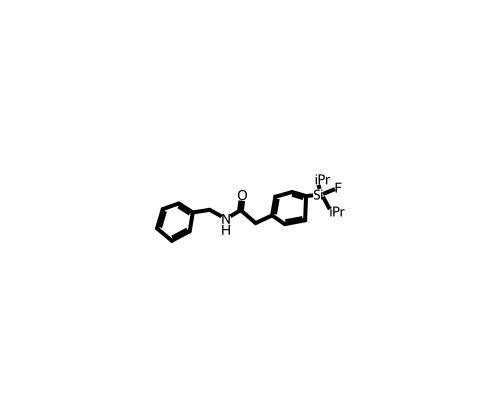 CC(C)[Si](F)(c1ccc(CC(=O)NCc2ccccc2)cc1)C(C)C